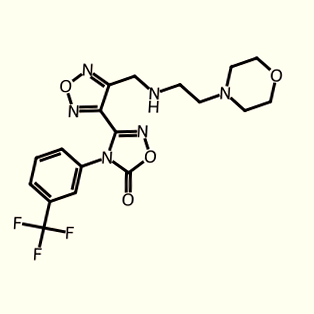 O=c1onc(-c2nonc2CNCCN2CCOCC2)n1-c1cccc(C(F)(F)F)c1